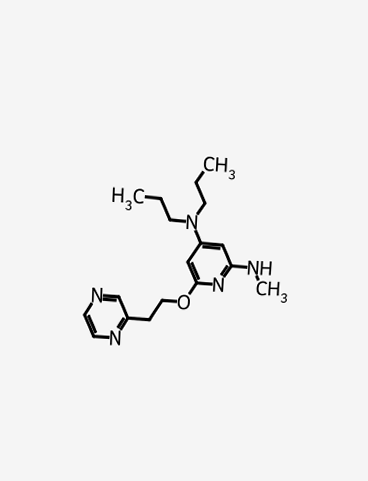 CCCN(CCC)c1cc(NC)nc(OCCc2cnccn2)c1